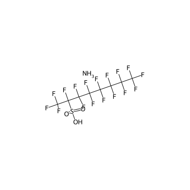 N.O=S(=O)(O)C(F)(C(F)(F)F)C(F)(F)C(F)(F)C(F)(F)C(F)(F)C(F)(F)C(F)(F)F